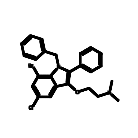 CN(C)CCOc1c(-c2ccccc2)n(Cc2ccccc2)c2c(Br)cc(Cl)cc12